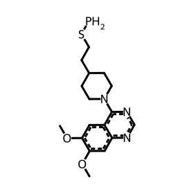 COc1cc2ncnc(N3CCC(CCSP)CC3)c2cc1OC